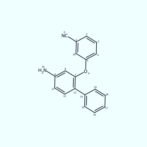 N#Cc1cccc(Oc2cc(N)ccc2-c2ccccc2)c1